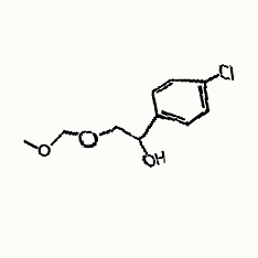 COCOCC(O)c1ccc(Cl)cc1